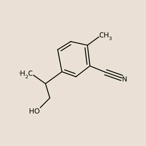 [CH2]C(CO)c1ccc(C)c(C#N)c1